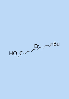 CCCCC=CCCCCCCCC(=O)O.[Er]